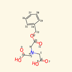 O=C(O)CN(CC(=O)O)CC(=O)OCc1ccccc1